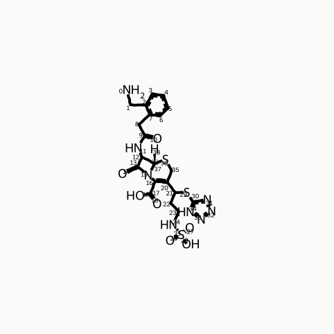 NCc1ccccc1CC(=O)NC1C(=O)N2C(C(=O)O)=C(C(CCNS(=O)(=O)O)Sc3nnn[nH]3)CS[C@@H]12